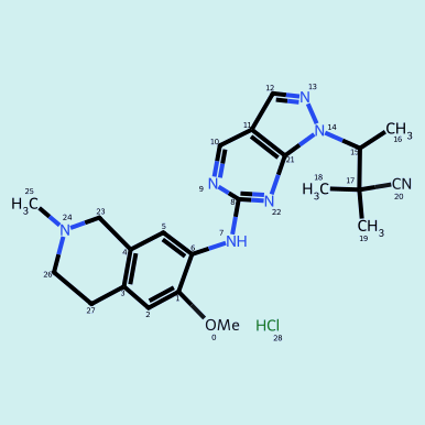 COc1cc2c(cc1Nc1ncc3cnn(C(C)C(C)(C)C#N)c3n1)CN(C)CC2.Cl